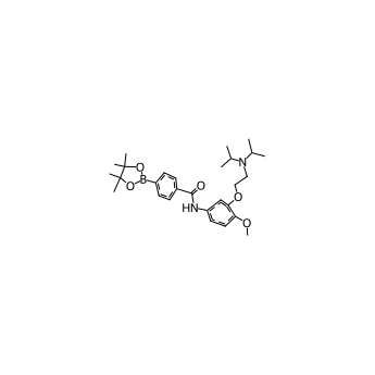 COc1ccc(NC(=O)c2ccc(B3OC(C)(C)C(C)(C)O3)cc2)cc1OCCN(C(C)C)C(C)C